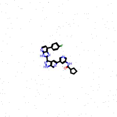 O=C(Nc1cncc(-c2cc3c(-c4nc5c(-c6ccc(F)cc6)ccnc5[nH]4)n[nH]c3cn2)c1)C1CCCC1